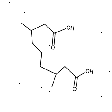 CC(CCCC(C)CC(=O)O)CC(=O)O